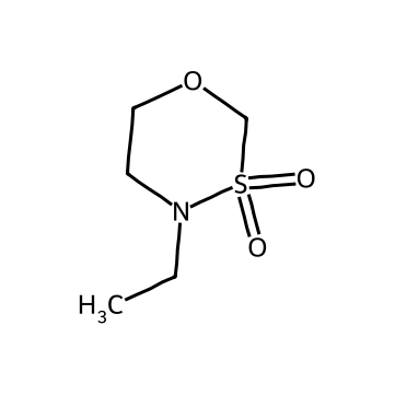 CCN1CCOCS1(=O)=O